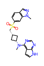 Cn1ncc2ccc(S(=O)(=O)C[C@H]3C[C@@H](N(C)c4ncnc5[nH]ccc45)C3)cc21